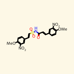 COc1ccc(C=CC(=O)NS(=O)(=O)C=Cc2ccc(OC)c([N+](=O)[O-])c2)cc1[N+](=O)[O-]